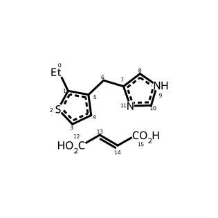 CCc1sccc1Cc1c[nH]cn1.O=C(O)C=CC(=O)O